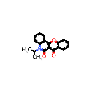 CC(C)n1c(=O)c2c(=O)c3ccccc3oc2c2ccccc21